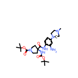 CN1CCN(c2ccc(NC(=O)C3(NC(=O)OC(C)(C)C)CCN(C(=O)OC(C)(C)C)CC3)c(N)c2)CC1